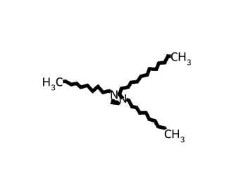 CCCCCCCCCCCCC1N(CCCCCCCCCC)C=CN1CCCCCCCCCC